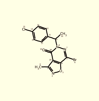 Cc1noc2c(Br)nn(C(C)c3ccc(Cl)cc3)c(=O)c12